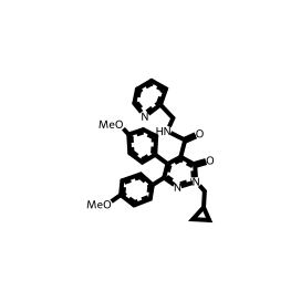 COc1ccc(-c2nn(CC3CC3)c(=O)c(C(=O)NCc3ccccn3)c2-c2ccc(OC)cc2)cc1